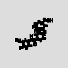 N#Cc1cc(NC(=O)N2CCc3nn4c(c3C2)C(F)(F)CCC(CO)C4)ccc1F